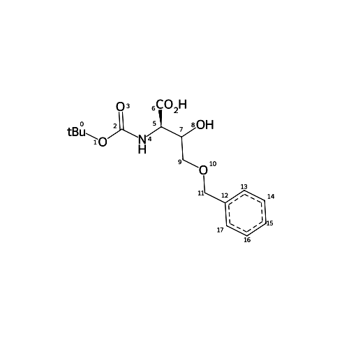 CC(C)(C)OC(=O)N[C@@H](C(=O)O)C(O)COCc1ccccc1